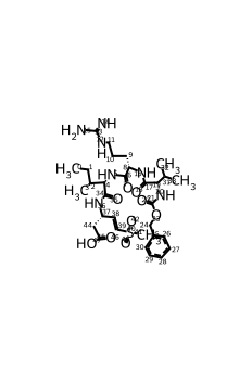 CCC(C)[C@H](NC(=O)[C@H](CCCNC(=N)N)NC(=O)[C@@H](NC(=O)OCc1ccccc1)C(C)C)C(=O)N[C@H](/C=C/S(C)(=O)=O)CC(=O)O